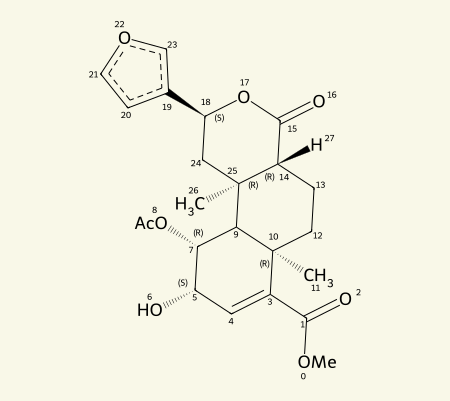 COC(=O)C1=C[C@H](O)[C@H](OC(C)=O)C2[C@@]1(C)CC[C@H]1C(=O)O[C@H](c3ccoc3)C[C@]21C